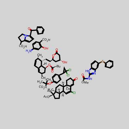 CC(=O)O[C@]1(C(C)=O)CC[C@H]2[C@@H]3C=C(Cl)C4=CC(=O)CC[C@]4(C)[C@H]3CC[C@@]21C.CC(C)(Oc1ccc(C2CC2(Cl)Cl)cc1)C(=O)O.CC[C@H](C)C(=O)O[C@H]1C[C@@H](C)C=C2C=C[C@H](C)[C@H](CC[C@@H]3C[C@@H](O)CC(=O)O3)[C@H]21.COC(=O)Nc1nc2cc(Sc3ccccc3)ccc2[nH]1.Nc1ccc(C(=O)O)c(O)c1.O=C(c1ccccc1)c1ccc2n1CCC2C(=O)O